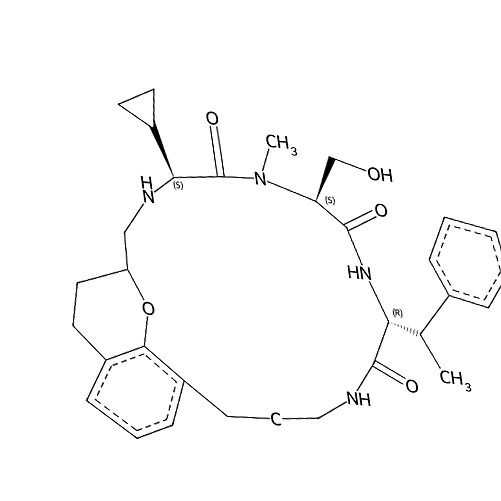 CC(c1ccccc1)[C@H]1NC(=O)[C@H](CO)N(C)C(=O)[C@H](C2CC2)NCC2CCc3cccc(c3O2)CCCNC1=O